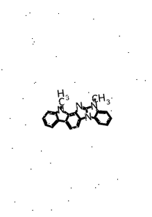 Cn1c2ccccc2c2ccc3c(nc4n(C)c5ccccc5n34)c21